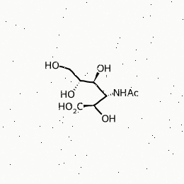 CC(=O)N[C@@H]([C@H](O)[C@H](O)CO)[C@@H](O)C(=O)O